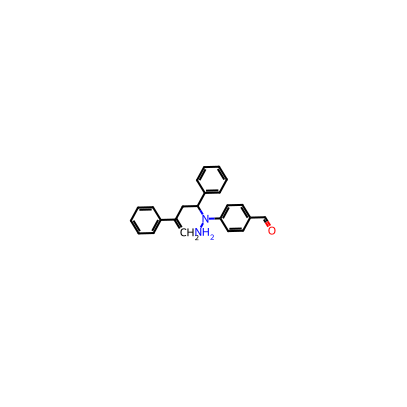 C=C(CC(c1ccccc1)N(N)c1ccc(C=O)cc1)c1ccccc1